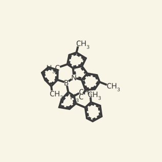 Cc1cc(C)c2c(c1)c1cc(C)cc(C)c1n2B(c1ccccc1C)c1cccc(-c2ccccc2C)c1C